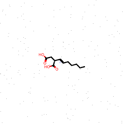 CCCCC/C=C/C(CC(=O)O)C(=O)O